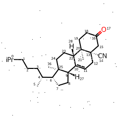 CC(C)CCC[C@@H](C)[C@H]1CC[C@H]2C3=CC[C@]4(C#N)CC(=O)CC[C@]4(C)[C@H]3CC[C@]12C